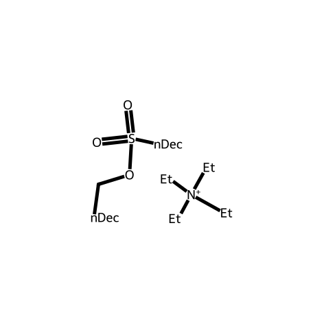 CCCCCCCCCCCOS(=O)(=O)CCCCCCCCCC.CC[N+](CC)(CC)CC